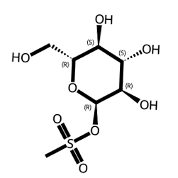 CS(=O)(=O)O[C@H]1O[C@H](CO)[C@@H](O)[C@H](O)[C@H]1O